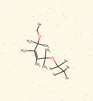 [2H]COC(C)(C)/C(C)=C(/C)C(C)(C)OC([2H])([2H])C([2H])([2H])[2H]